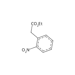 CCOC(=O)Cc1ccccc1[N+](=O)[O-]